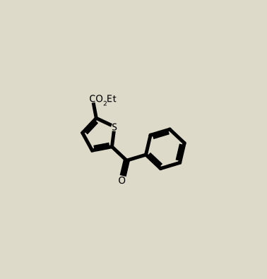 CCOC(=O)c1ccc(C(=O)c2ccccc2)s1